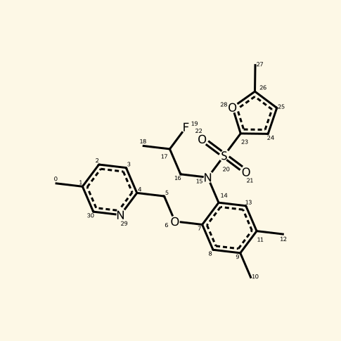 Cc1ccc(COc2cc(C)c(C)cc2N(CC(C)F)S(=O)(=O)c2ccc(C)o2)nc1